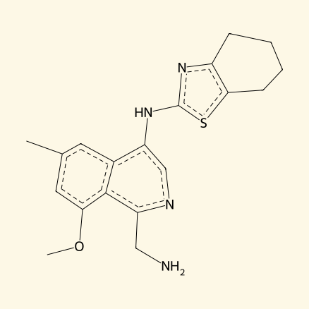 COc1cc(C)cc2c(Nc3nc4c(s3)CCCC4)cnc(CN)c12